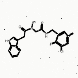 Cc1cc(Cl)c(F)c(CNC(=O)CN(C(=O)Cc2c[nH]c3ccccc23)C(C)C)c1